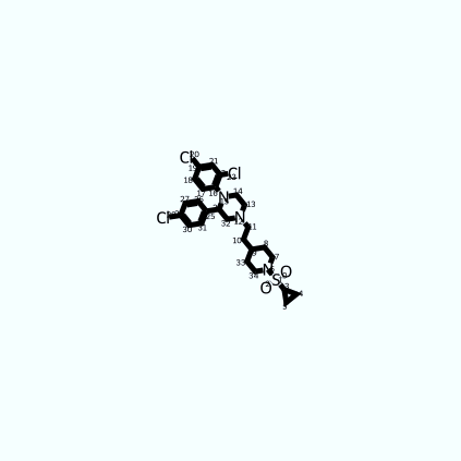 O=S(=O)(C1CC1)N1CCC(CCN2CCN(c3ccc(Cl)cc3Cl)C(c3ccc(Cl)cc3)C2)CC1